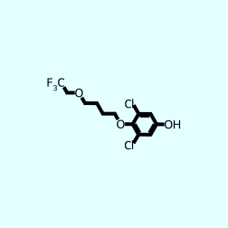 Oc1cc(Cl)c(OCCCCOCC(F)(F)F)c(Cl)c1